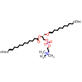 CCCCCC/C=C/CCCCCCCCCC(=O)O[C@H](CO/C=C/CCCCCCCCCCCCCCCCCC)COP(=O)([O-])OCC[N+](C)(C)C